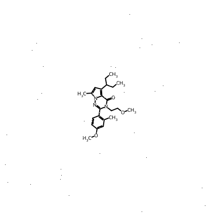 CCC(CC)c1cc(C)n2nc(-c3ccc(OC)cc3C)n(CCOC)c(=O)c12